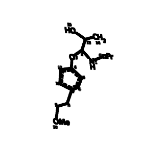 CCCNC(Oc1ccc(CCOC)cc1)C(C)O